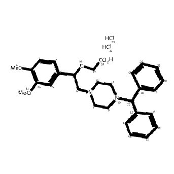 COc1ccc(C(CN2CCN(C(c3ccccc3)c3ccccc3)CC2)OCC(=O)O)cc1OC.Cl.Cl